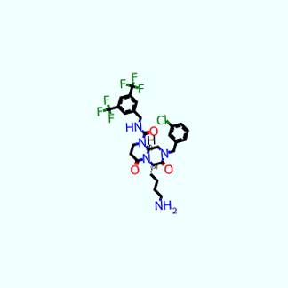 NCCCC[C@H]1C(=O)N(Cc2cccc(Cl)c2)C[C@@H]2N(C(=O)NCc3cc(C(F)(F)F)cc(C(F)(F)F)c3)CCC(=O)N21